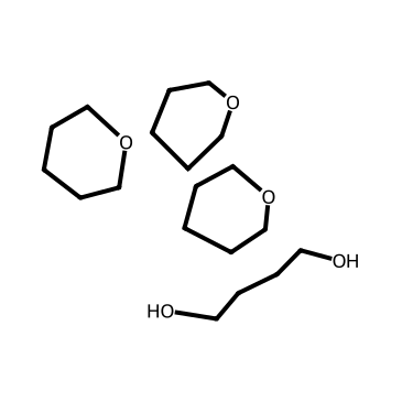 C1CCOCC1.C1CCOCC1.C1CCOCC1.OCCCCO